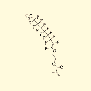 C=C(C)C(=O)OCCOC(F)=C(F)C(F)(F)C(F)(F)C(F)(F)C(F)(F)C(F)(F)C(F)(F)C(F)(F)F